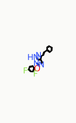 Fc1ccc(Oc2ncc3c(C=Cc4ccccc4)n[nH]c3n2)c(F)c1